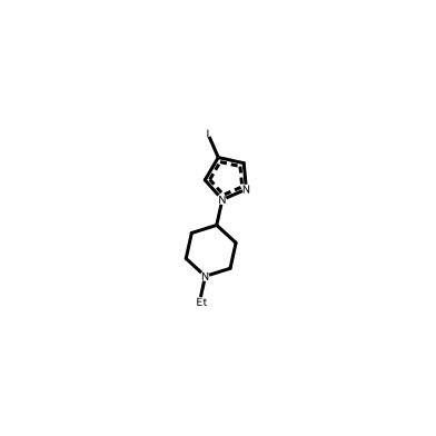 CCN1CCC(n2cc(I)cn2)CC1